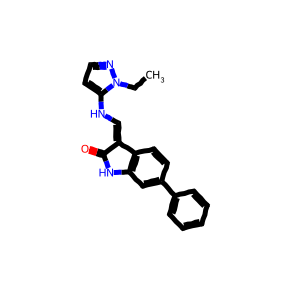 CCn1nccc1NC=C1C(=O)Nc2cc(-c3ccccc3)ccc21